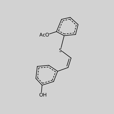 CC(=O)Oc1ccccc1S/C=C\c1cccc(O)c1